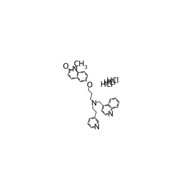 Cl.Cl.Cl.Cn1c(=O)ccc2cc(OCCCN(CCc3cccnc3)Cc3ccnc4ccccc34)ccc21